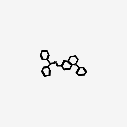 C(=NN(c1ccccc1)c1ccccc1)c1ccc2c(c1)CCCN2c1ccccc1